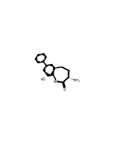 Cl.N[C@H]1CCc2cc(-c3ccccc3)ccc2NC1=O